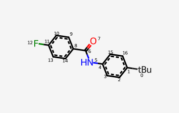 CC(C)(C)c1ccc(NC(=O)c2ccc(F)cc2)cc1